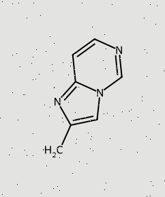 [CH2]c1cn2cnccc2n1